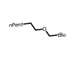 CCCCCCCOCC(C)(C)C